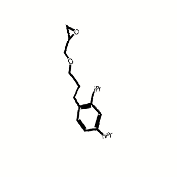 CCCc1ccc(CCCOCC2CO2)c(C(C)C)c1